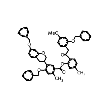 COc1ccc(CC(=O)c2ccc(C)cc2OC(=O)c2cc(C3COc4cc(OCc5ccccc5)ccc4C3)c(OCc3ccccc3)cc2C)c(OCc2ccccc2)c1